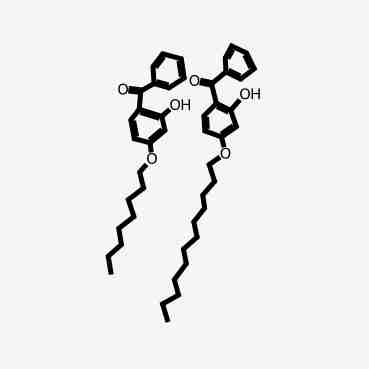 CCCCCCCCCCCCOc1ccc(C(=O)c2ccccc2)c(O)c1.CCCCCCCCOc1ccc(C(=O)c2ccccc2)c(O)c1